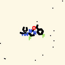 CC[Si](CC)(CC)Nc1nc(OC(C)c2ccc(F)cc2)ncc1F